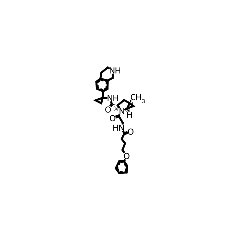 C[C@@]12C[C@@H]1N(C(=O)CNC(=O)CCCOc1ccccc1)[C@H](C(=O)NC1(c3ccc4c(c3)CNCC4)CC1)C2